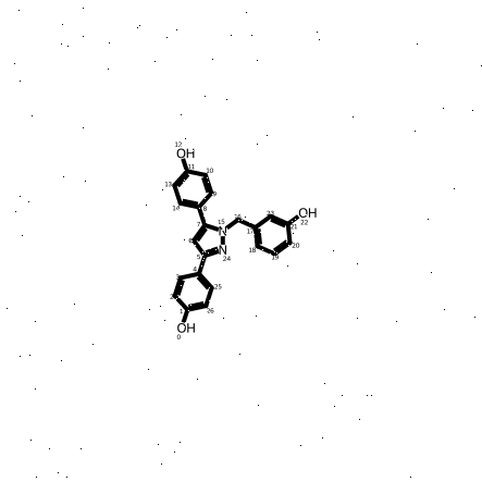 Oc1ccc(-c2cc(-c3ccc(O)cc3)n(Cc3cccc(O)c3)n2)cc1